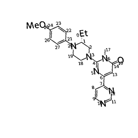 CC[C@@H]1CN(c2nc(-c3ccncn3)cc(=O)n2C)CCN1c1ccc(OC)cc1